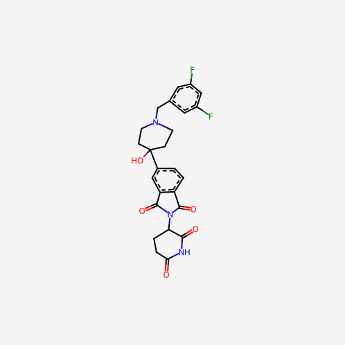 O=C1CCC(N2C(=O)c3ccc(C4(O)CCN(Cc5cc(F)cc(F)c5)CC4)cc3C2=O)C(=O)N1